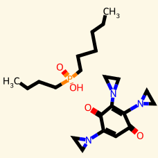 CCCCCCP(=O)(O)CCCC.O=C1C=C(N2CC2)C(=O)C(N2CC2)=C1N1CC1